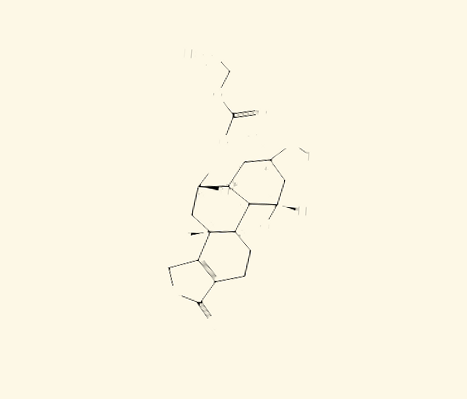 CCO[C@@]1(C(C)C)C[C@@H]2O[C@]23[C@]2(O[C@H]2C[C@H]2C4=C(CC[C@@]23C)C(=O)OC4)[C@@H]1OC(=O)OCC(=O)O